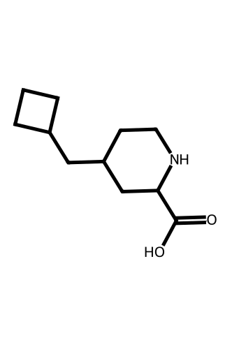 O=C(O)C1CC(CC2CCC2)CCN1